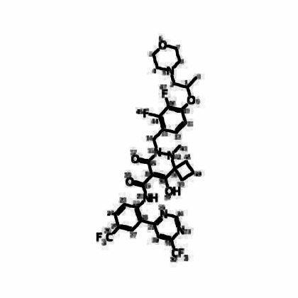 CC(CN1CCOCC1)Oc1ccc(CN2C(=O)C(C(=O)Nc3ccc(C(F)(F)F)cc3-c3cc(C(F)(F)F)ncn3)=C(O)C3(CCC3)N2C)c(F)c1F